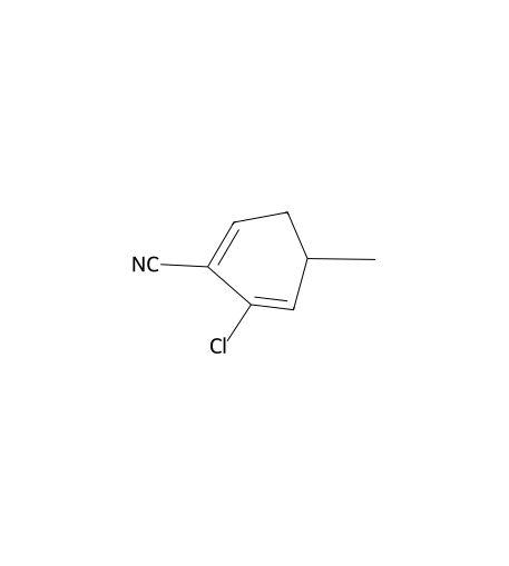 CC1C=C(Cl)C(C#N)=CC1